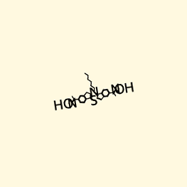 CCCCCCN1C2=C(SC3=Cc4cc(C(C)=NO)ccc4C31)c1ccc(C(C)=NO)cc1C2